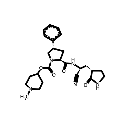 CN1CCC(OC(=O)N2C[C@H](c3ccccc3)C[C@H]2C(=O)N[C@H](C#N)C[C@@H]2CCNC2=O)CC1